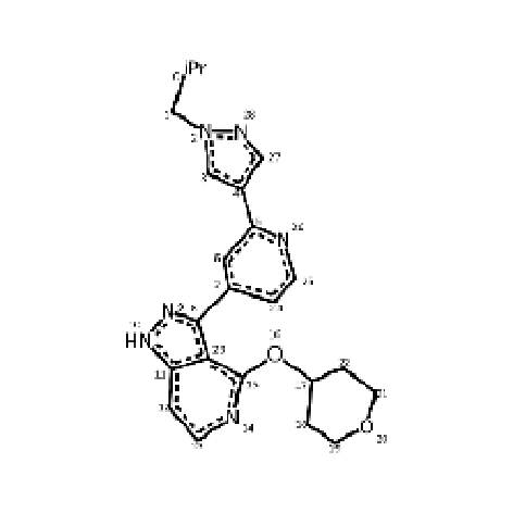 CC(C)Cn1cc(-c2cc(-c3n[nH]c4ccnc(OC5CCOCC5)c34)ccn2)cn1